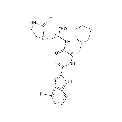 O=C[C@H](C[C@@H]1CCNC1=O)NC(=O)[C@H](CC1CCCCC1)NC(=O)c1cc2c(F)cccc2[nH]1